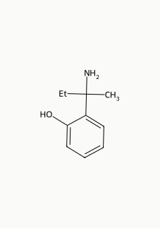 CCC(C)(N)c1ccccc1O